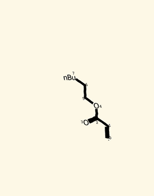 [CH]=CC(=O)OCCCCCC